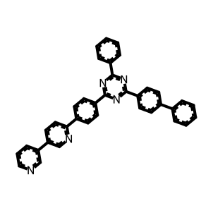 c1ccc(-c2ccc(-c3nc(-c4ccccc4)nc(-c4ccc(-c5ccc(-c6cccnc6)cn5)cc4)n3)cc2)cc1